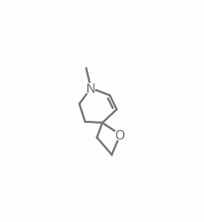 CN1C=CC2(CCO2)CC1